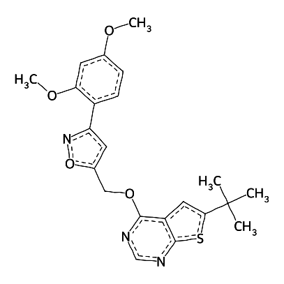 COc1ccc(-c2cc(COc3ncnc4sc(C(C)(C)C)cc34)on2)c(OC)c1